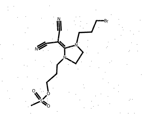 CS(=O)(=O)OCCCN1CCN(CCCBr)C1=C(C#N)C#N